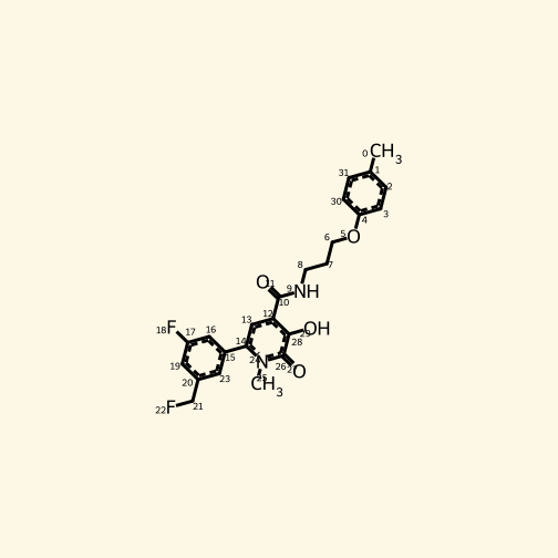 Cc1ccc(OCCCNC(=O)c2cc(-c3cc(F)cc(CF)c3)n(C)c(=O)c2O)cc1